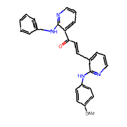 COc1ccc(Nc2ncccc2/C=C/C(=O)c2cccnc2Nc2ccccc2)cc1